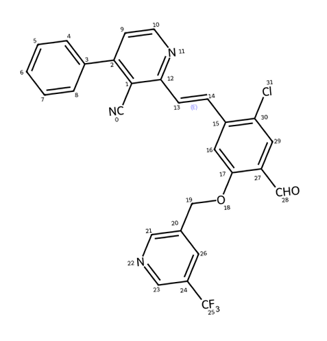 N#Cc1c(-c2ccccc2)ccnc1/C=C/c1cc(OCc2cncc(C(F)(F)F)c2)c(C=O)cc1Cl